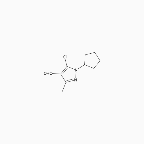 Cc1nn(C2CCCC2)c(Cl)c1C=O